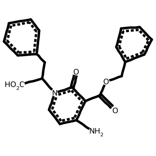 Nc1ccn(C(Cc2ccccc2)C(=O)O)c(=O)c1C(=O)OCc1ccccc1